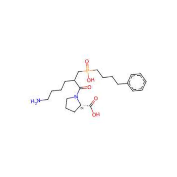 NCCCCC(CP(=O)(O)CCCCc1ccccc1)C(=O)N1CCC[C@H]1C(=O)O